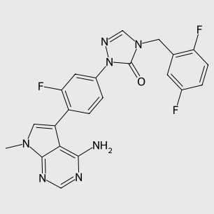 Cn1cc(-c2ccc(-n3ncn(Cc4cc(F)ccc4F)c3=O)cc2F)c2c(N)ncnc21